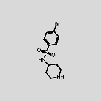 O=S(=O)(NC1CCNCC1)c1ccc(Br)cc1